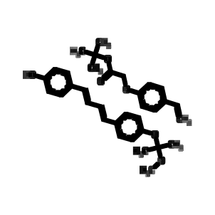 C=Cc1ccc(OCC(=O)OC(C)(C)C)cc1.COC(C)(C)Oc1ccc(C=CC=Cc2ccc(O)cc2)cc1